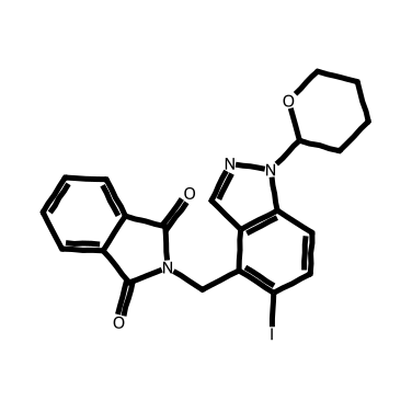 O=C1c2ccccc2C(=O)N1Cc1c(I)ccc2c1cnn2C1CCCCO1